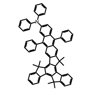 CC1(C)c2ccccc2-c2c1c1c(c3c2C(C)(C)c2cc4c(-c5ccccc5)c5ccc(N(c6ccccc6)c6ccccc6)cc5c(-c5ccccc5)c4cc2-3)C(C)(C)c2ccccc2-1